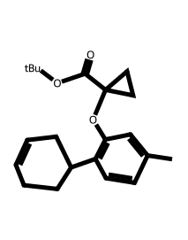 Cc1ccc(C2CC=CCC2)c(OC2(C(=O)OC(C)(C)C)CC2)c1